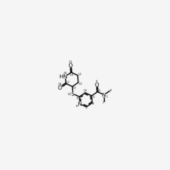 CN(C)C(=O)c1ccnc(SC2CCC(=O)NC2=O)c1